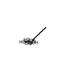 CCCCCCCCCCCCCCCCCC(=O)O[C@H]1[C@@H]([C@@H](CO)OCC(O)CO)OC[C@@H]1O